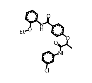 CCOc1ccccc1NC(=O)c1ccc(OC(C)C(=O)Nc2cccc(Cl)c2)cc1